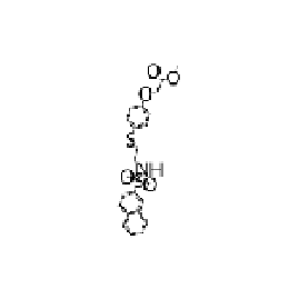 COC(=O)COc1ccc(SCCNS(=O)(=O)c2ccc3ccccc3c2)cc1